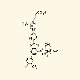 COCC(C)(C)CN(C)c1cc(-c2ccc(F)c(C(F)(F)F)c2)nc2nc(-c3cnc(N4CCN(CCCC(=O)O)[C@@H](C)C4)cn3)[nH]c12